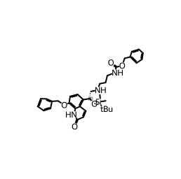 CC(C)(C)[Si](C)(C)O[C@@H](CNCCCNC(=O)OCc1ccccc1)c1ccc(OCc2ccccc2)c2[nH]c(=O)ccc12